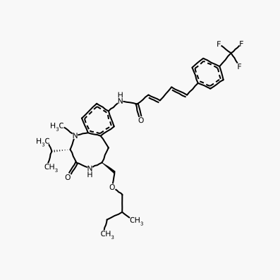 CCC(C)COC[C@@H]1Cc2cc(NC(=O)/C=C/C=C/c3ccc(C(F)(F)F)cc3)ccc2N(C)[C@@H](C(C)C)C(=O)N1